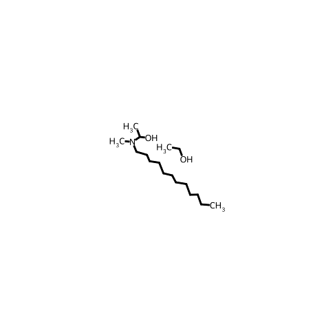 CCCCCCCCCCCCN(C)C(C)O.CCO